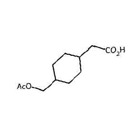 CC(=O)OCC1CCC(CC(=O)O)CC1